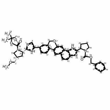 COC[C@H]1C[C@@H](c2ncc(-c3ccc4c(c3)COc3cc5c(ccc6nc(C7CCCN7C(=O)OCc7ccccc7)[nH]c65)cc3-4)[nH]2)N(C(=O)OC(C)(C)C)C1